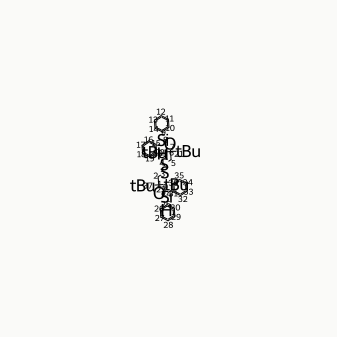 CC(C)(C)C(CSSCC(O[SiH](c1ccccc1)c1ccccc1)(C(C)(C)C)C(C)(C)C)(O[SiH](c1ccccc1)c1ccccc1)C(C)(C)C